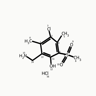 Cc1c(Cl)c(C)c(S(C)(=O)=O)c(O)c1CN.Cl